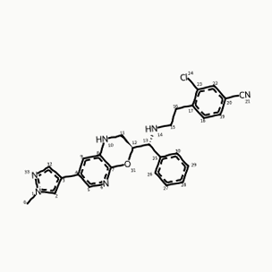 Cn1cc(-c2cnc3c(c2)NC[C@@H]([C@H](NCCc2ccc(C#N)cc2Cl)c2ccccc2)O3)cn1